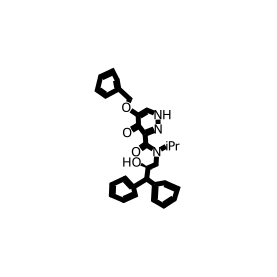 CC(C)N(C[C@H](O)C(c1ccccc1)c1ccccc1)C(=O)c1n[nH]cc(OCc2ccccc2)c1=O